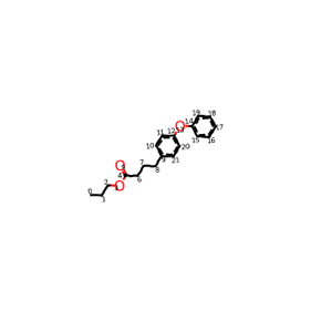 CCCOC(=O)CCCc1ccc(Oc2ccccc2)cc1